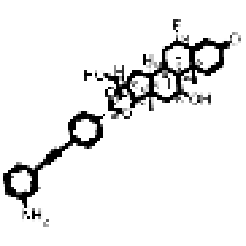 C[C@]12C=CC(=O)C=C1[C@@H](F)C[C@H]1[C@@H]3C[C@H]4O[C@@H](c5ccc(C#Cc6cccc(N)c6)cc5)O[C@@]4(C(=O)CO)[C@@]3(C)C[C@H](O)[C@@]12F